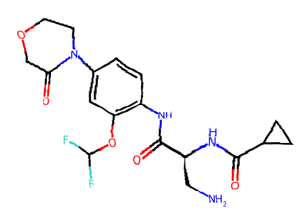 NC[C@H](NC(=O)C1CC1)C(=O)Nc1ccc(N2CCOCC2=O)cc1OC(F)F